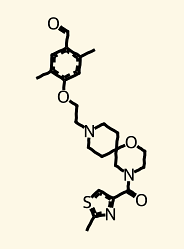 Cc1nc(C(=O)N2CCOC3(CCN(CCOc4cc(C)c(C=O)cc4C)CC3)C2)cs1